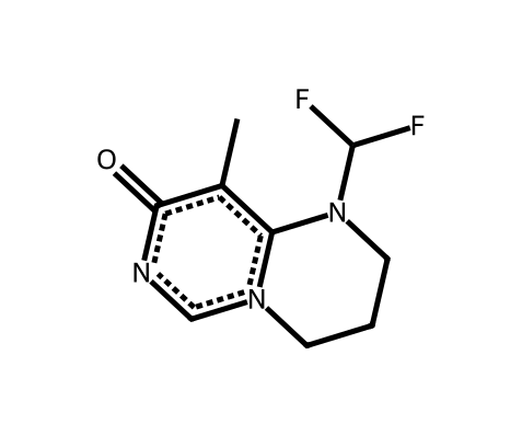 Cc1c2n(cnc1=O)CCCN2C(F)F